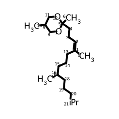 CC(=CCCC1(C)OCC(C)CO1)CCC[C@H](C)CCCC(C)C